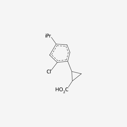 CC(C)c1ccc(C2CC2C(=O)O)c(Cl)c1